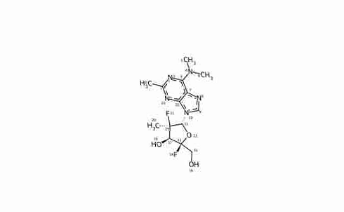 Cc1nc(N(C)C)c2ncn([C@@H]3O[C@](F)(CO)[C@@H](O)[C@@]3(C)F)c2n1